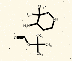 CC(C)(C)OC=O.CC1(C)CNCCC1N